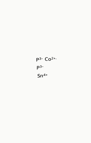 [Co+2].[P-3].[P-3].[Sn+4]